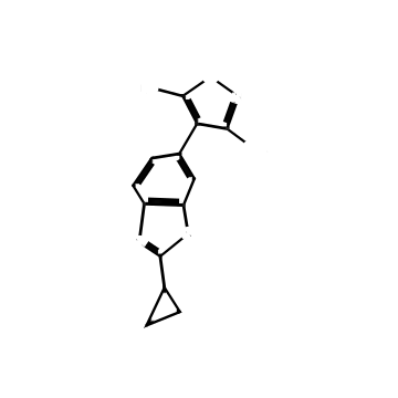 Cc1noc(C)c1-c1c[c]c2nc(C3CC3)[nH]c2c1